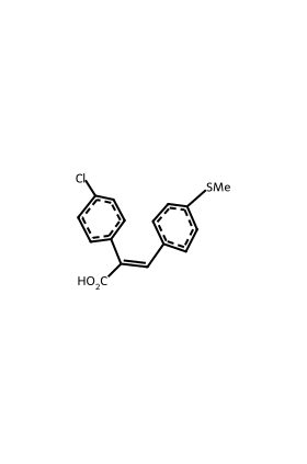 CSc1ccc(C=C(C(=O)O)c2ccc(Cl)cc2)cc1